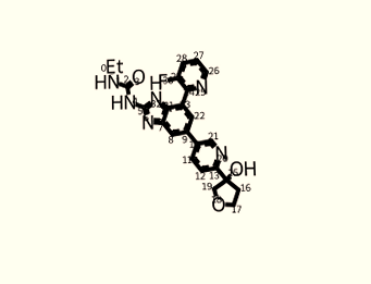 CCNC(=O)Nc1nc2cc(-c3ccc(C4(O)CCOC4)nc3)cc(-c3ncccc3F)c2[nH]1